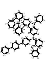 c1ccc(-c2ccc(-c3ccc(N(c4ccc5c(c4)c4c6c(ccc4n5-c4ccccc4)C4(c5ccccc5-c5ccccc54)c4ccccc4-6)c4cccc5c4oc4ccccc45)cc3)cc2)cc1